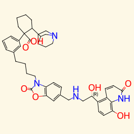 O=C(O)C1(c2cccc(CCCCn3c(=O)oc4cc(CNC[C@H](O)c5ccc(O)c6[nH]c(=O)ccc56)ccc43)c2)CCCCC1C1CN2CCC1CC2